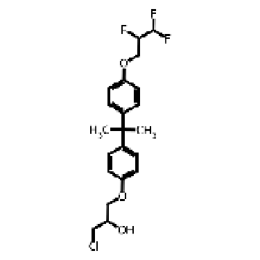 CC(C)(c1ccc(OCC(O)CCl)cc1)c1ccc(OCC(F)C(F)F)cc1